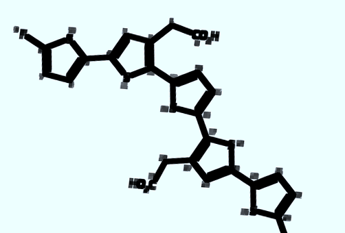 O=C(O)Cc1cc(-c2ccc(F)s2)sc1-c1ccc(-c2sc(-c3ccc(F)s3)cc2CC(=O)O)s1